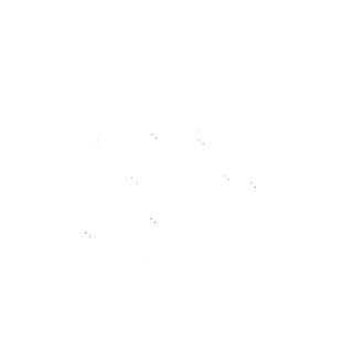 Cc1nc(Nc2cc(C3CC3)[nH]n2)cc(NC(C)c2ccccn2)n1